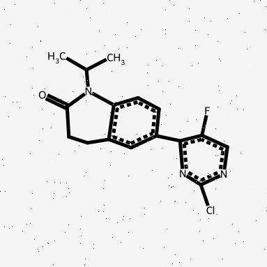 CC(C)N1C(=O)CCc2cc(-c3nc(Cl)ncc3F)ccc21